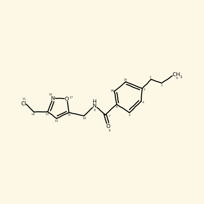 CCCc1ccc(C(=O)NCc2cc(CCl)no2)cc1